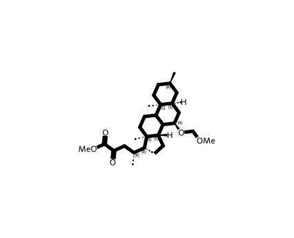 COCO[C@@H]1C[C@@H]2C[C@H](C)CC[C@]2(C)C2CC[C@]3(C)[C@@H]([C@H](C)CC(=O)C(=O)OC)CC[C@H]3C21